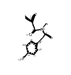 C=C(C)C(=O)N(C)C(=C)c1ccc(I)cc1